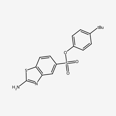 CC(C)(C)c1ccc(OS(=O)(=O)c2ccc3sc(N)nc3c2)cc1